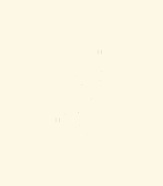 CC1=CC2=CCC3C(C2CC1)[C@@H](F)C[C@]1(C)C(=O)CCC31